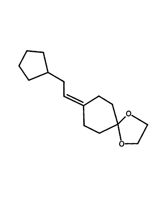 C(CC1CCCC1)=C1CCC2(CC1)OCCO2